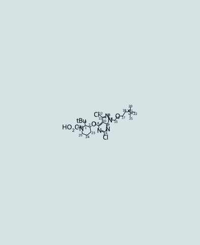 CC(C)(C)C1C(Oc2nc(Cl)nc3c2c(Cl)nn3COCC[Si](C)(C)C)CCCN1C(=O)O